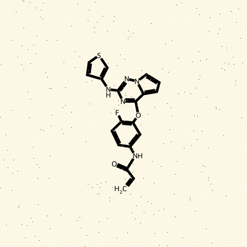 C=CC(=O)Nc1ccc(F)c(Oc2nc(Nc3ccsc3)nn3cccc23)c1